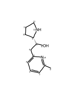 Cc1cccc(CC(O)[C@@H]2CCCN2)n1